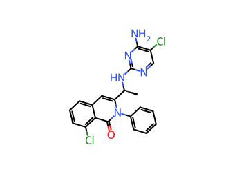 C[C@H](Nc1ncc(Cl)c(N)n1)c1cc2cccc(Cl)c2c(=O)n1-c1ccccc1